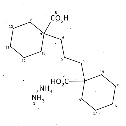 N.N.O=C(O)C1(CCCC2(C(=O)O)CCCCC2)CCCCC1